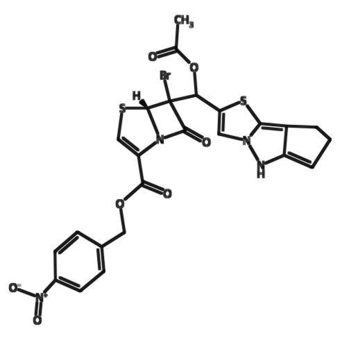 CC(=O)OC(C1=CN2NC3=CCCC3=C2S1)C1(Br)C(=O)N2C(C(=O)OCc3ccc([N+](=O)[O-])cc3)=CS[C@@H]21